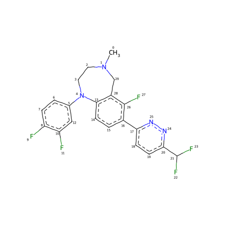 CN1CCN(c2ccc(F)c(F)c2)c2ccc(-c3ccc(C(F)F)nn3)c(F)c2C1